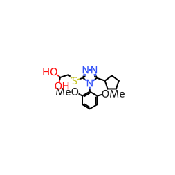 COc1cccc(OC)c1-n1c(SCC(O)O)nnc1C1CCCC1